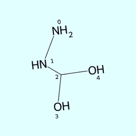 NNC(O)O